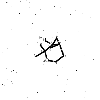 CC12CCOC(C)(C)[C@@H]1C2